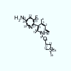 C=C/C=C(C)\C(=C(\C)NCOCC[Si](C)(C)C)c1ncc(N)cc1F